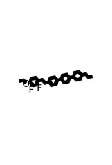 CCCC1CCC(C2C=CC(c3ccc(CCc4ccc(OCC)c(F)c4F)cc3)CC2)CC1